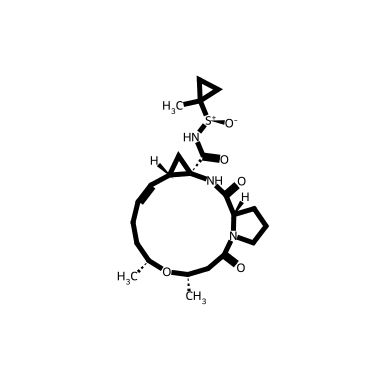 C[C@@H]1CC/C=C\[C@@H]2C[C@@]2(C(=O)N[S@+]([O-])C2(C)CC2)NC(=O)[C@@H]2CCCN2C(=O)C[C@H](C)O1